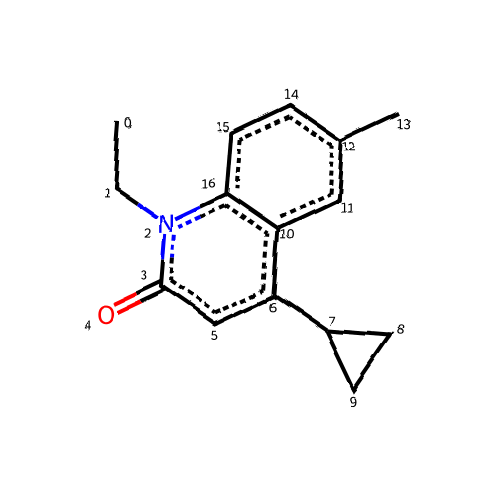 CCn1c(=O)cc(C2CC2)c2cc(C)ccc21